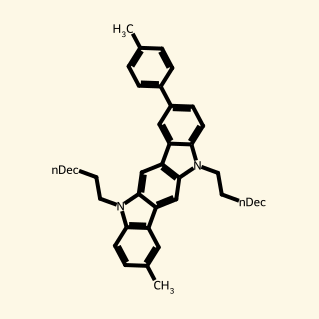 CCCCCCCCCCCCn1c2ccc(C)cc2c2cc3c(cc21)c1cc(-c2ccc(C)cc2)ccc1n3CCCCCCCCCCCC